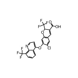 O=C(O)C1=Cc2cc(Cl)c(Oc3ccnc4c(C(F)(F)F)cccc34)cc2OC1C(F)(F)F